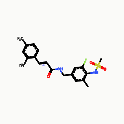 CCCc1cc(C(F)(F)F)ccc1/C=C/C(=O)NCc1cc(C)c(NS(C)(=O)=O)c(F)c1